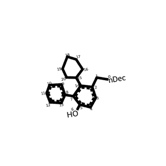 CCCCCCCCCCCc1ccc(O)c(-c2ccccc2)c1C1CCCCC1